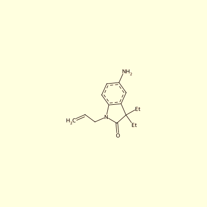 C=CCN1C(=O)C(CC)(CC)c2cc(N)ccc21